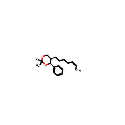 CC1(C)OC[C@@H](CCCC/C=C\C(=O)O)[C@@H](c2ccccc2)O1